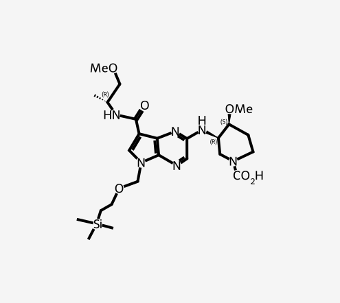 COC[C@@H](C)NC(=O)c1cn(COCC[Si](C)(C)C)c2ncc(N[C@@H]3CN(C(=O)O)CC[C@@H]3OC)nc12